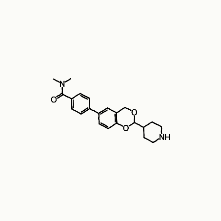 CN(C)C(=O)c1ccc(-c2ccc3c(c2)COC(C2CCNCC2)O3)cc1